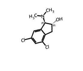 CN(C)[C@@H]1c2cc(Cl)cc(Cl)c2C[C@H]1O